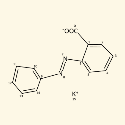 O=C([O-])c1ccccc1/N=N/c1ccccc1.[K+]